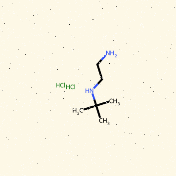 CC(C)(C)NCCN.Cl.Cl